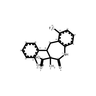 COC(=O)C1(C)C(=O)Nc2cccc(C(F)(F)F)c2CC1c1ccccc1OC